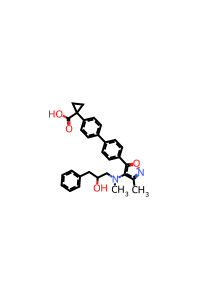 Cc1noc(-c2ccc(-c3ccc(C4(C(=O)O)CC4)cc3)cc2)c1N(C)CC(O)Cc1ccccc1